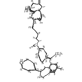 O=C(O)C(c1cc(F)cc2c1CC(C1CCOCC1)OC2)N1CC[C@@H](OCCCCc2ccc3c(n2)NCCC3)C1